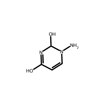 NN1C=CC(O)=NC1O